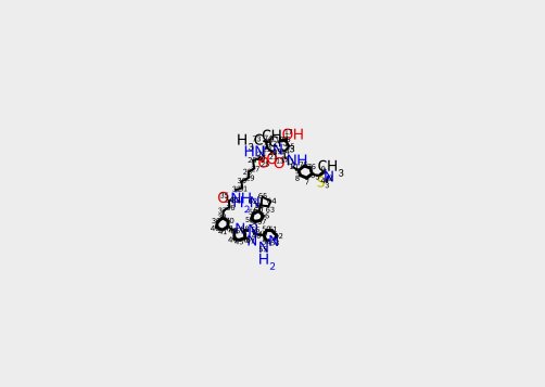 Cc1ncsc1-c1ccc(CNC(=O)[C@@H]2C[C@@H](O)CN2C(=O)C(NC(=O)CCCCCCCNC(=O)CCc2cccc(-c3ccc4nc(-c5cccnc5N)n(-c5ccc(C6(N)CCC6)cc5)c4n3)c2)C(C)(C)C)cc1